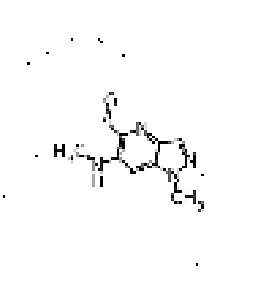 CNc1cc2c(cnn2C)nc1C=O